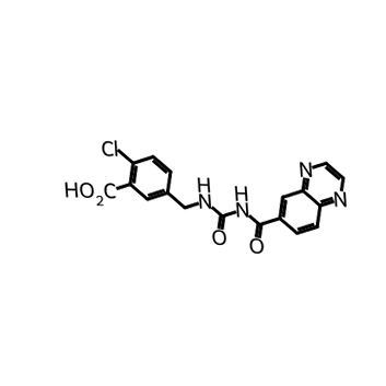 O=C(NCc1ccc(Cl)c(C(=O)O)c1)NC(=O)c1ccc2nccnc2c1